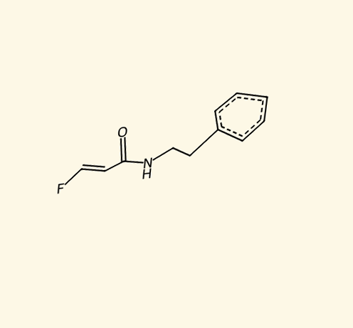 O=C(/C=C/F)NCCc1ccccc1